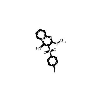 CSc1nc2ccccn2c(=N)c1S(=O)(=O)c1ccc(F)cc1